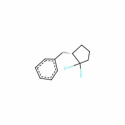 FC1(F)CCC[C@H]1Cc1ccccc1